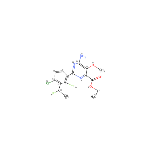 CCOC(=O)c1nc(-c2ccc(Cl)c(C(C)F)c2F)nc(N)c1OC